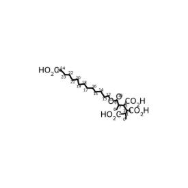 CC(C(=O)O)C(C(=O)O)C(C(=O)O)C(C)C(=O)OCCCCCCCCCCCCCC(=O)O